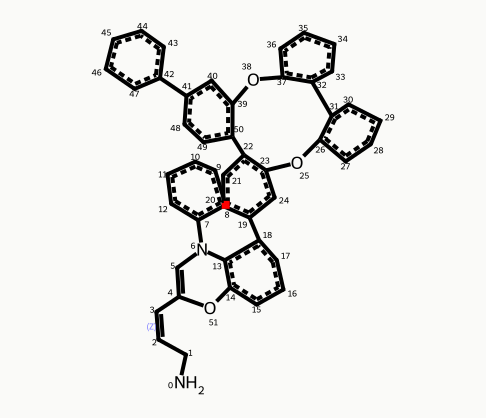 NC/C=C\C1=CN(c2ccccc2)c2c(cccc2-c2ccc3c(c2)Oc2ccccc2-c2ccccc2Oc2cc(-c4ccccc4)ccc2-3)O1